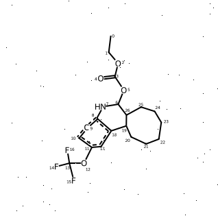 CCOC(=O)OC1Nc2ccc(OC(F)(F)F)cc2C2CCCCCCC12